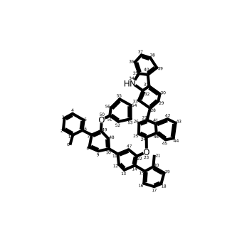 Cc1ccccc1-c1ccc(-c2ccc(-c3ccccc3C)c(Oc3ccc(-c4ccc5c(c4)[nH]c4ccccc45)c4ccccc34)c2)cc1Oc1ccccc1